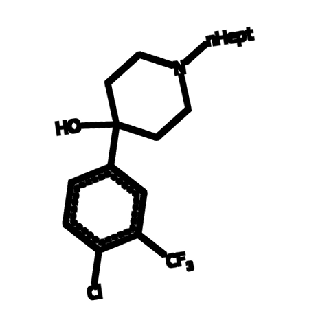 CCCCCCCN1CCC(O)(c2ccc(Cl)c(C(F)(F)F)c2)CC1